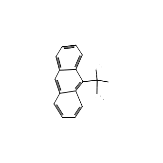 CC(C#N)(C#N)c1c2ccccc2cc2ccccc12